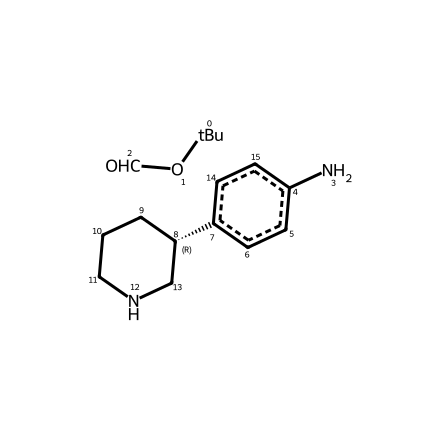 CC(C)(C)OC=O.Nc1ccc([C@H]2CCCNC2)cc1